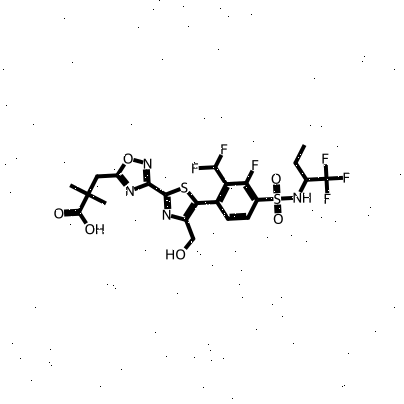 CCC(NS(=O)(=O)c1ccc(-c2sc(-c3noc(CC(C)(C)C(=O)O)n3)nc2CO)c(C(F)F)c1F)C(F)(F)F